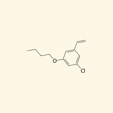 C=Cc1cc(Cl)cc(OCCCC)c1